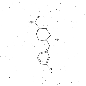 O=C([O-])C1CCN(Cc2cccc(Cl)c2)CC1.[Na+]